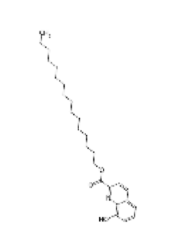 CCCCCCCCCCCCCCCCOC(=O)c1ccc2cccc(O)c2n1